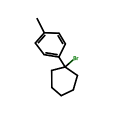 Cc1ccc(C2(Br)CCCCC2)cc1